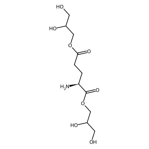 N[C@@H](CCC(=O)OCC(O)CO)C(=O)OCC(O)CO